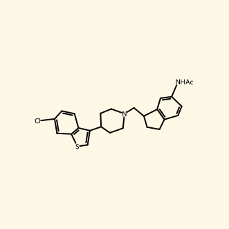 CC(=O)Nc1ccc2c(c1)C(CN1CCC(c3csc4cc(Cl)ccc34)CC1)CC2